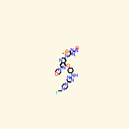 Cn1c(CN(c2cnc3cc(N4CCOCC4)nc(O[C@H]4CC[C@@H](Nc5ncc(N6CCN(CCF)CC6)cn5)CC4)c3c2)[S+](C)[O-])cnc1N=O